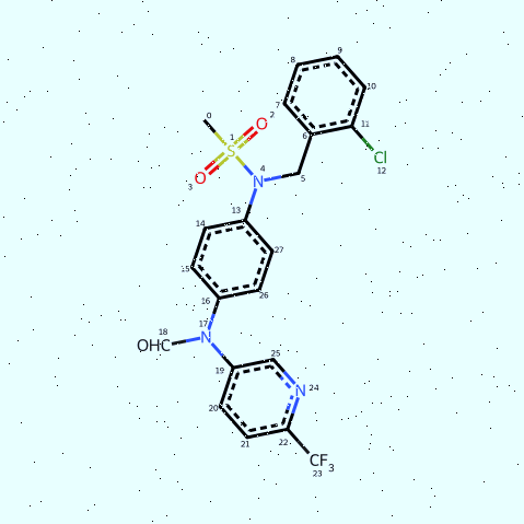 CS(=O)(=O)N(Cc1ccccc1Cl)c1ccc(N(C=O)c2ccc(C(F)(F)F)nc2)cc1